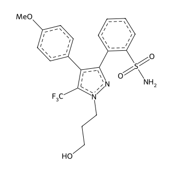 COc1ccc(-c2c(-c3ccccc3S(N)(=O)=O)nn(CCCO)c2C(F)(F)F)cc1